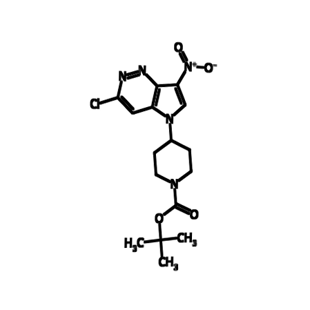 CC(C)(C)OC(=O)N1CCC(n2cc([N+](=O)[O-])c3nnc(Cl)cc32)CC1